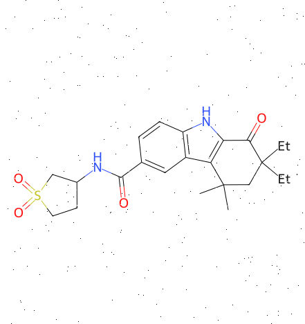 CCC1(CC)CC(C)(C)c2c([nH]c3ccc(C(=O)NC4CCS(=O)(=O)C4)cc23)C1=O